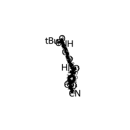 CC(C)(C)OC(=O)NCCOCCOCCNC(=O)C(C)(C)c1ccc(S(=O)(=O)C=CC#N)cc1